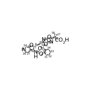 CC(OC(=O)Nc1c(C#Cc2nc3oc(C4(C(=O)O)CC4)nc3o2)oc2cnccc12)c1ccccc1